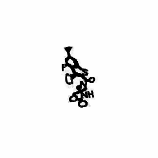 O=C1NC2(CO1)CN(C(=O)c1sc3cc(C4CC4)cc(F)c3c1Cl)C2